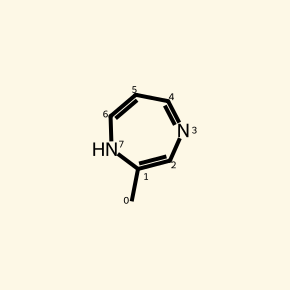 CC1=CN=CC=CN1